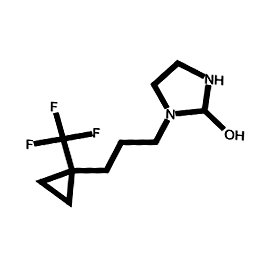 OC1NCCN1CCCC1(C(F)(F)F)CC1